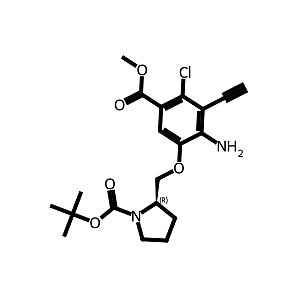 C#Cc1c(N)c(OC[C@H]2CCCN2C(=O)OC(C)(C)C)cc(C(=O)OC)c1Cl